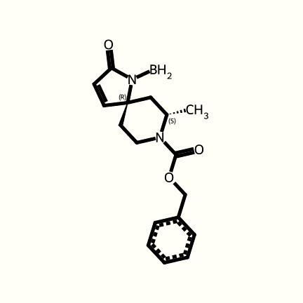 BN1C(=O)C=C[C@]12CCN(C(=O)OCc1ccccc1)[C@@H](C)C2